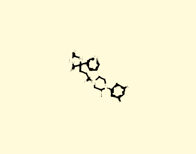 C[C@H]1CN(C(=O)CCC2(c3cccnc3)NC(=O)NC2=O)CCN1c1cc(Cl)cc(Cl)c1